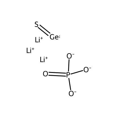 O=P([O-])([O-])[O-].[Li+].[Li+].[Li+].[S]=[Ge]